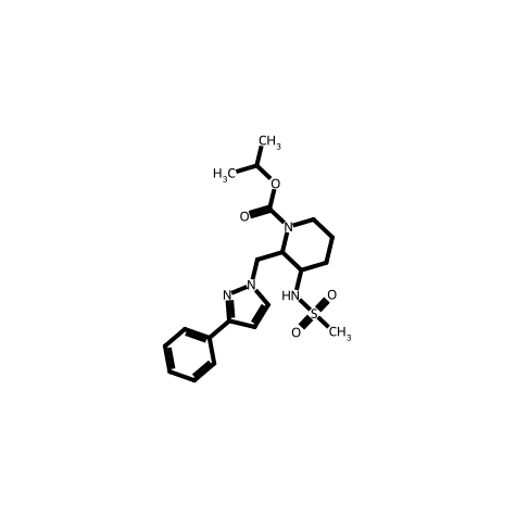 CC(C)OC(=O)N1CCCC(NS(C)(=O)=O)C1Cn1ccc(-c2ccccc2)n1